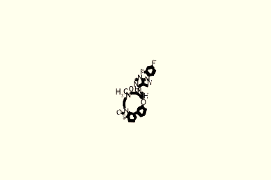 CN1CCCn2c(=O)sc3cccc(c32)-c2cccc(c2)O[C@H]2C[C@@H](C1=O)N(c1ncnc3c1cnn3-c1ccc(F)cc1F)C2